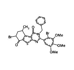 COc1cc(-c2nc3sc4c(c3c(=O)n2Cc2ccccc2)C(C)CC(Br)C4=O)c(Br)c(OC)c1OC